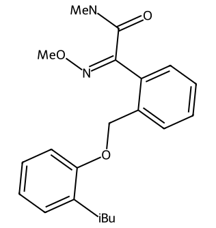 CCC(C)c1ccccc1OCc1ccccc1C(=NOC)C(=O)NC